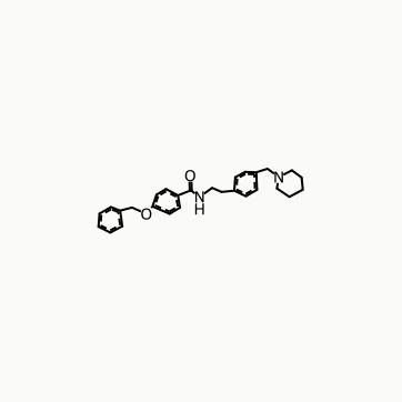 O=C(NCCc1ccc(CN2CCCCC2)cc1)c1ccc(OCc2ccccc2)cc1